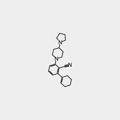 N#Cc1c(C2=CCCCC2)cccc1N1CCC(N2CCCC2)CC1